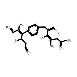 C=CCC(C)/C(=C(/C)C=C)c1ccc(CC(=C/S)/C(C)=C(/C)CC(=C)C)cc1